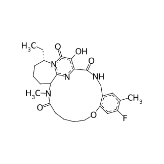 CC[C@H]1CCCC2c3nc(c(O)c(=O)n31)C(=O)NCc1cc(C)c(F)cc1OCCCCC(=O)N2C